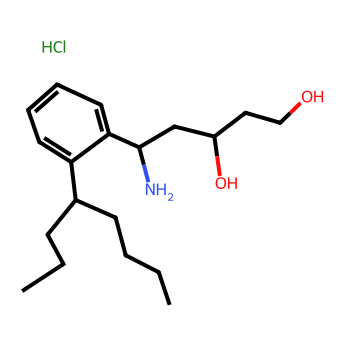 CCCCC(CCC)c1ccccc1C(N)CC(O)CCO.Cl